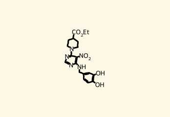 CCOC(=O)C1CCN(c2ncnc(NCc3ccc(O)c(O)c3)c2[N+](=O)[O-])CC1